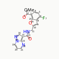 COC(=O)c1ccc(F)c2cc(CNC(=O)c3cnn4cccnc34)oc12